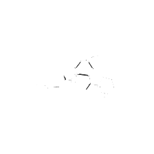 C=C(c1cc(Br)ccc1NC(=O)CNC(C)=O)N1C[C@H](C)C[C@H](C)C1